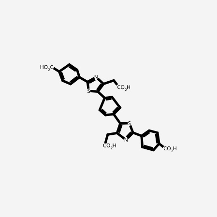 O=C(O)Cc1nc(-c2ccc(C(=O)O)cc2)sc1-c1ccc(-c2sc(-c3ccc(C(=O)O)cc3)nc2CC(=O)O)cc1